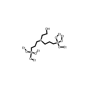 CCO[Si](CCCN(CCO)CCC[Si](OCC)(OCC)OCC)(OCC)OCC